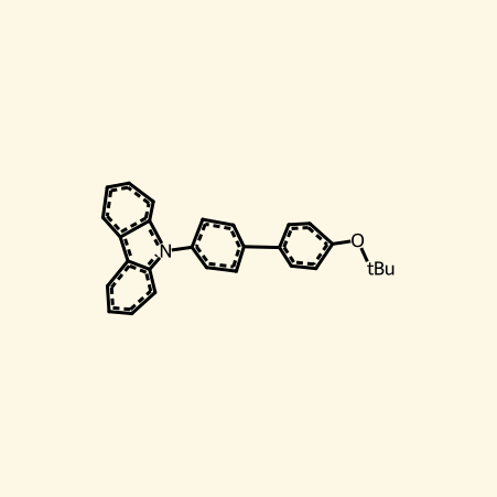 CC(C)(C)Oc1ccc(-c2ccc(-n3c4ccccc4c4ccccc43)cc2)cc1